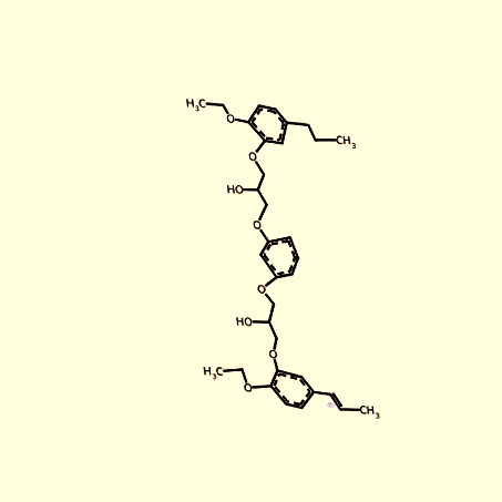 C/C=C/c1ccc(OCC)c(OCC(O)COc2cccc(OCC(O)COc3cc(CCC)ccc3OCC)c2)c1